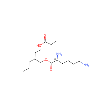 CCC(=O)O.CCCCC(CC)COC(=O)[C@@H](N)CCCCN